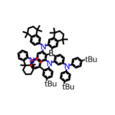 CC(C)(C)c1ccc(N(c2ccc(C(C)(C)C)cc2)c2ccc3c(c2)N(c2ccc(C(C)(C)C)cc2-c2ccccc2)c2cc(N4c5ccccc5C5(C)CCCCC45C)cc4c2B3c2cc3c(cc2N4c2ccc4c(c2)C(C)(C)CCC4(C)C)C(C)(C)CCC3(C)C)cc1